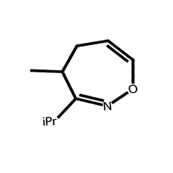 CC(C)C1=NOC=CCC1C